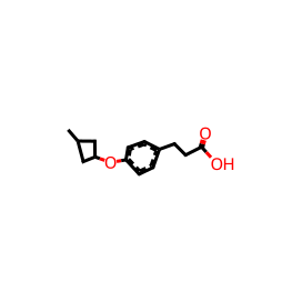 CC1CC(Oc2ccc(CCC(=O)O)cc2)C1